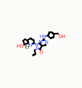 C=CCn1c(=O)c2cnc(Nc3ccc(CO)cc3)nc2n1-c1ccc2c(n1)[C@@](O)(CC)CC2